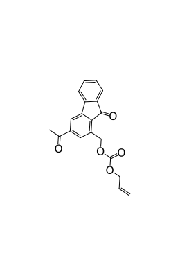 C=CCOC(=O)OCc1cc(C(C)=O)cc2c1C(=O)c1ccccc1-2